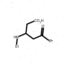 CCNC(CC(=O)O)CC(=O)C(C)C